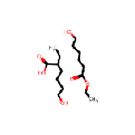 CCC(CCCCO)C(=O)O.CCOC(=O)CCCCCO